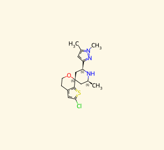 Cc1cc([C@@H]2C[C@]3(C[C@H](C)N2)OCCc2cc(Cl)sc23)nn1C